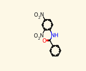 O=C(Nc1ccc([N+](=O)[O-])cc1[N+](=O)[O-])c1ccccc1